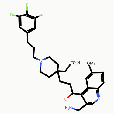 COc1ccc2ncc(CN)c(C(O)CCC3(CC(=O)O)CCN(CCCc4cc(F)c(F)c(F)c4)CC3)c2c1